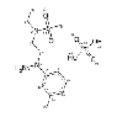 CCN(CCN(N)c1cccc(C)c1)S(C)(=O)=O.O=S(=O)(O)O